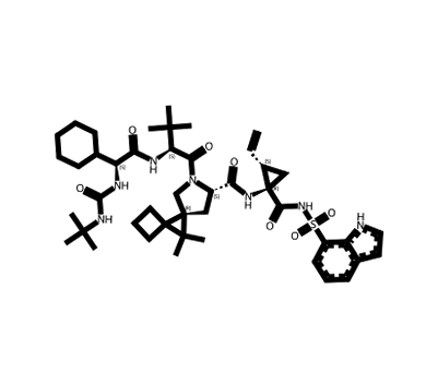 C=C[C@@H]1C[C@]1(NC(=O)[C@@H]1C[C@@]2(CN1C(=O)[C@@H](NC(=O)[C@@H](NC(=O)NC(C)(C)C)C1CCCCC1)C(C)(C)C)C(C)(C)C21CCC1)C(=O)NS(=O)(=O)c1cccc2cc[nH]c12